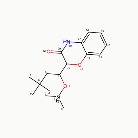 C[SiH](C)OC(CC(C)(C)C)C1Oc2ccccc2NC1=O